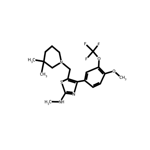 CNc1nc(-c2ccc(OC)c(OC(F)(F)F)c2)c(CN2CCCC(C)(C)C2)s1